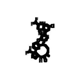 CC1CCCC(n2cnc(-c3cc(Cl)ccc3N(N)/C=C(\N)C(F)F)cc2=O)c2cccc(c2)-c2c(cnn2C(F)F)NC1=O